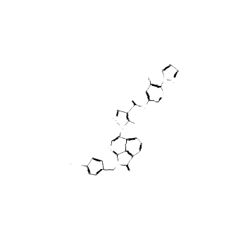 COc1ccc(CN2C(=O)c3cccc4c(-n5ncc(C(=O)Nc6cnc(-n7cccn7)c(C(F)(F)F)c6)c5C(F)(F)F)cnc2c34)cc1